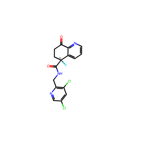 O=C1CC[C@@](F)(C(=O)NCc2ncc(Cl)cc2Cl)c2cccnc21